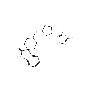 O=C1Nc2ccccc2C12CCC(N[C@@H]1CC[C@H](c3nc(C(F)(F)F)no3)C1)CC2